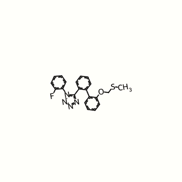 CSCOc1ccccc1-c1ccccc1-c1nnnn1-c1ccccc1F